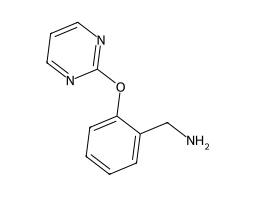 NCc1ccccc1Oc1ncccn1